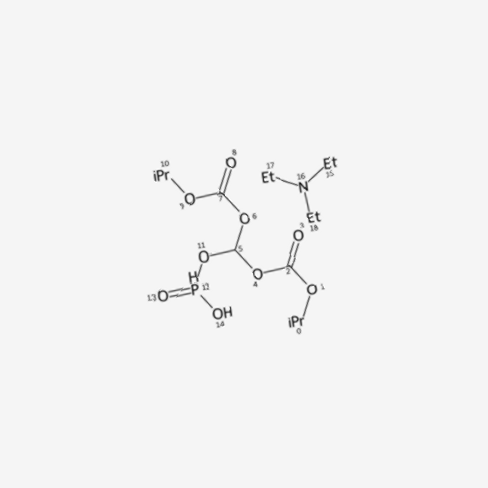 CC(C)OC(=O)OC(OC(=O)OC(C)C)O[PH](=O)O.CCN(CC)CC